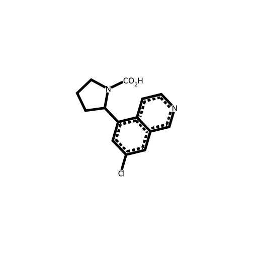 O=C(O)N1CCCC1c1cc(Cl)cc2cnccc12